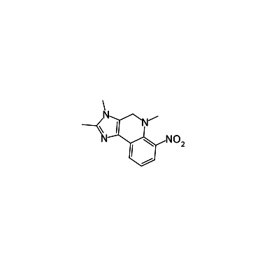 Cc1nc2c(n1C)CN(C)c1c-2cccc1[N+](=O)[O-]